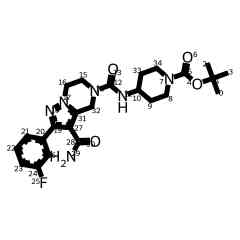 CC(C)(C)OC(=O)N1CCC(NC(=O)N2CCn3nc(-c4cccc(F)c4)c(C(N)=O)c3C2)CC1